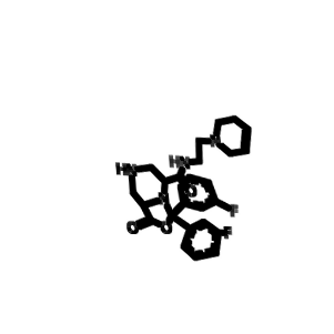 O=C(NCCN1CC=CCC1)C1CNCC2C(=O)OC(c3cccc(F)c3)(c3cccc(F)c3)N12